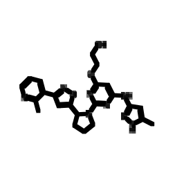 Cc1cc(Nc2cc(OCCO)nc(N3CCCC3c3cc(-c4cccnc4C)no3)n2)n[nH]1